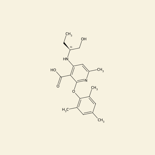 CC[C@@H](CO)Nc1cc(C)nc(Oc2c(C)cc(C)cc2C)c1C(=O)O